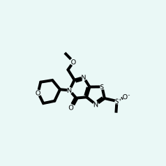 COCc1nc2sc([S+](C)[O-])nc2c(=O)n1C1CCOCC1